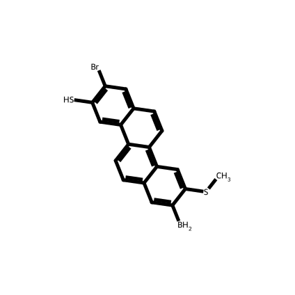 Bc1cc2ccc3c4cc(S)c(Br)cc4ccc3c2cc1SC